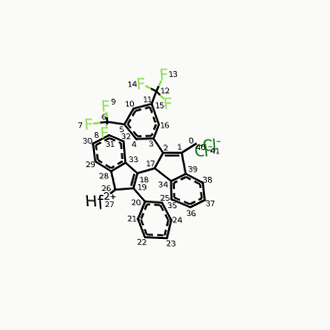 CC1=C(c2cc(C(F)(F)F)cc(C(F)(F)F)c2)C(C2=C(c3ccccc3)[CH]([Hf+2])c3ccccc32)c2ccccc21.[Cl-].[Cl-]